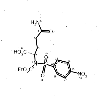 CCOC(=O)N([C@@H](CCC(N)=O)C(=O)O)S(=O)(=O)c1ccc([N+](=O)[O-])cc1